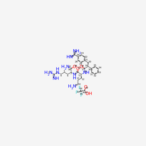 N=C(N)NCCCC(NC(=O)[C@H](CCCN)NC(=O)[C@@H](Cc1ccc(C(=N)N)cc1)c1ccccc1)C(N)=O.O=C(O)C(F)(F)F